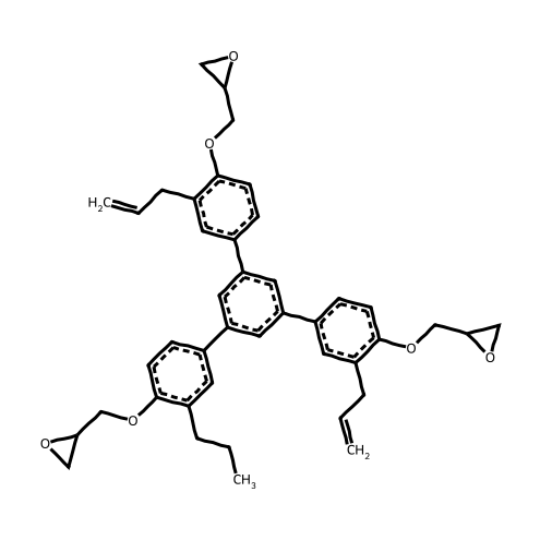 C=CCc1cc(-c2cc(-c3ccc(OCC4CO4)c(CC=C)c3)cc(-c3ccc(OCC4CO4)c(CCC)c3)c2)ccc1OCC1CO1